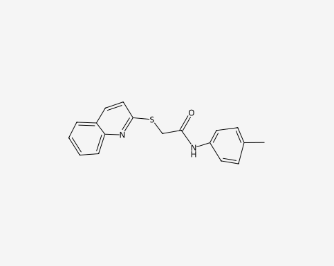 Cc1ccc(NC(=O)CSc2ccc3ccccc3n2)cc1